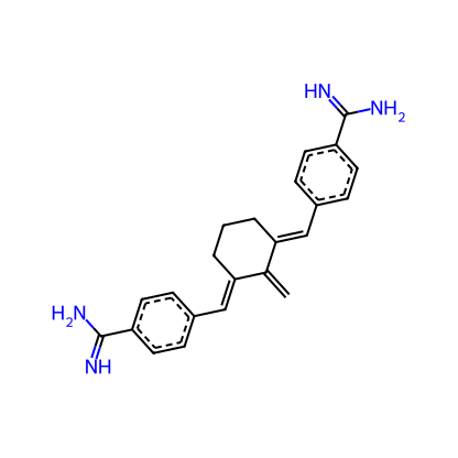 C=C1/C(=C/c2ccc(C(=N)N)cc2)CCC/C1=C\c1ccc(C(=N)N)cc1